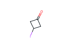 O=C1CC(I)C1